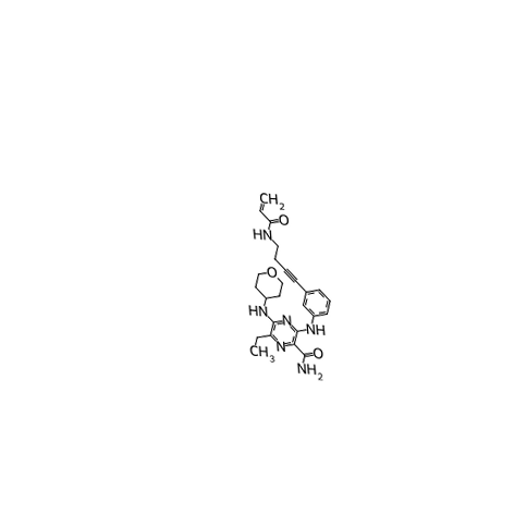 C=CC(=O)NCCC#Cc1cccc(Nc2nc(NC3CCOCC3)c(CC)nc2C(N)=O)c1